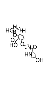 O=C(O)c1c(OC2CN(C(=O)[C@H]3C[C@H](O)CN3)C2)ccc2c1OB(O)[C@@H]1C[C@H]21